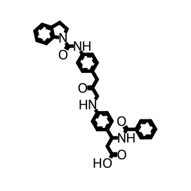 O=C(O)CC(NC(=O)c1ccccc1)c1ccc(NCC(=O)Cc2ccc(NC(=O)N3CCc4ccccc43)cc2)cc1